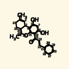 CC1=CC2c3c(O)cc(O)c(C(=O)/C=C/c4ccccc4)c3OC(C)C2CC1